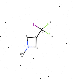 CC(C)N1CC(C(F)(F)I)C1